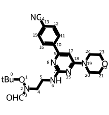 CC(C)(C)ON(C=O)CCNc1nc(-c2ccc(C#N)cc2)cc(N2CCOCC2)n1